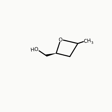 CC1C[C@@H](CO)O1